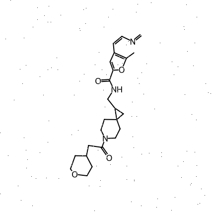 C=N/C=C\c1cc(C(=O)NCC2CC23CCN(C(=O)CC2CCOCC2)CC3)oc1C